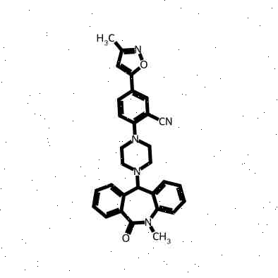 Cc1cc(-c2ccc(N3CCN(C4c5ccccc5C(=O)N(C)c5ccccc54)CC3)c(C#N)c2)on1